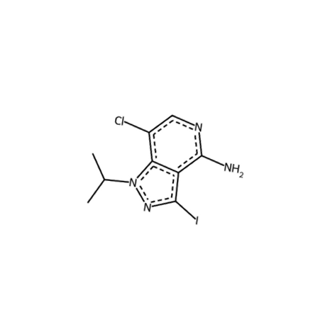 CC(C)n1nc(I)c2c(N)ncc(Cl)c21